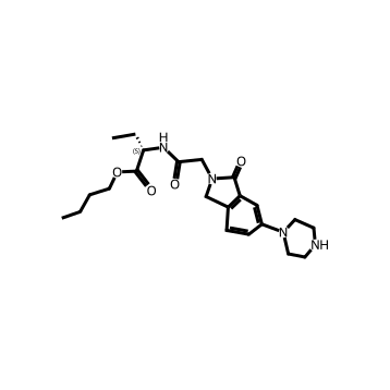 CCCCOC(=O)[C@H](CC)NC(=O)CN1Cc2ccc(N3CCNCC3)cc2C1=O